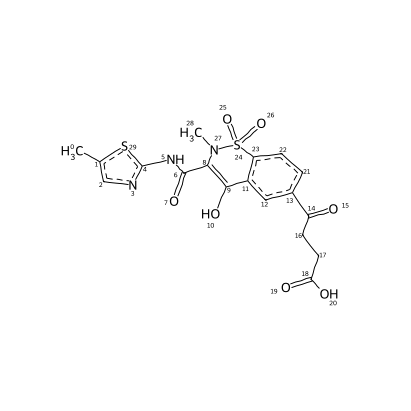 Cc1cnc(NC(=O)C2=C(O)c3cc(C(=O)CCC(=O)O)ccc3S(=O)(=O)N2C)s1